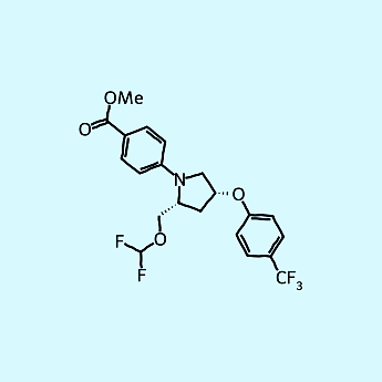 COC(=O)c1ccc(N2C[C@H](Oc3ccc(C(F)(F)F)cc3)C[C@@H]2COC(F)F)cc1